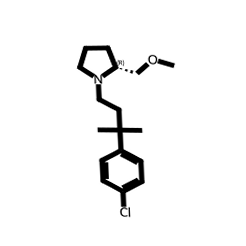 COC[C@H]1CCCN1CCC(C)(C)c1ccc(Cl)cc1